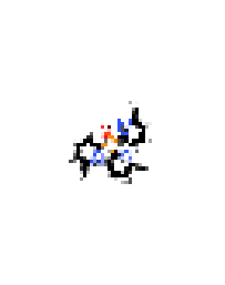 Cc1cccc(P(=O)(c2cccc(C)n2)c2cccc(C)n2)n1